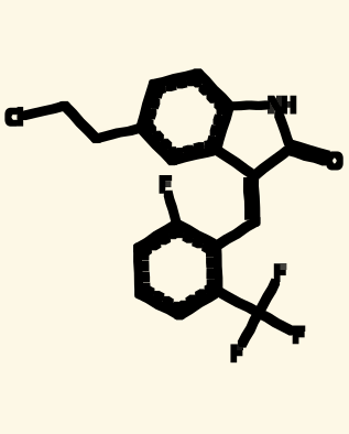 O=C1Nc2ccc(CCCl)cc2C1=Cc1c(F)cccc1C(F)(F)F